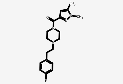 Cc1cc(C(=O)N2CCN(CCc3ccc(F)cc3)CC2)nn1C